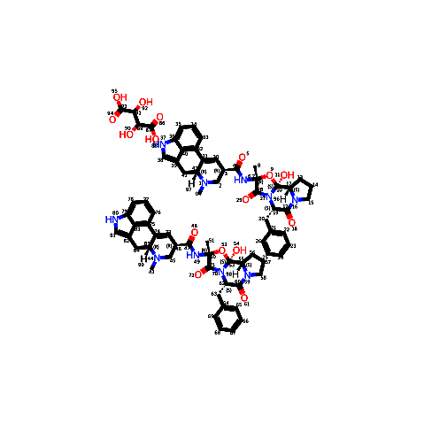 CN1C[C@H](C(=O)N[C@]2(C)O[C@@]3(O)[C@@H]4CCCN4C(=O)[C@H](Cc4ccccc4)N3C2=O)C=C2c3cccc4[nH]cc(c34)C[C@H]21.CN1C[C@H](C(=O)N[C@]2(C)O[C@@]3(O)[C@@H]4CCCN4C(=O)[C@H](Cc4ccccc4)N3C2=O)C=C2c3cccc4[nH]cc(c34)C[C@H]21.O=C(O)C(O)C(O)C(=O)O